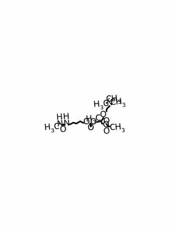 CNC(=O)NCCCCCOC(=O)OCC(C)(COC(C)=O)C(=O)OCCC[N+](C)(C)C